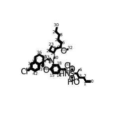 C=CC[C@H](O)[C@H](C)S(=O)(=O)NC(=O)c1ccc2c(c1)N(C[C@@H]1CC[C@H]1[C@H](/C=C/CCC)OC)C[C@@]1(CCCc3cc(Cl)ccc31)CO2